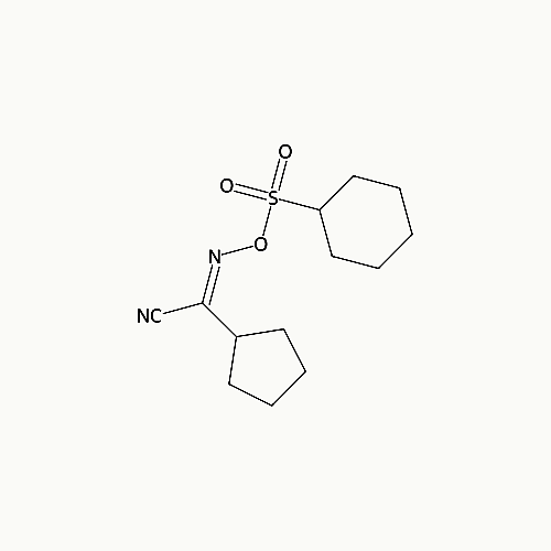 N#CC(=NOS(=O)(=O)C1CCCCC1)C1CCCC1